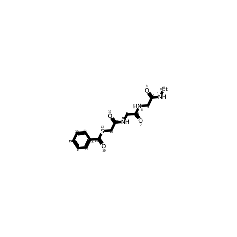 CCNC(=O)CNC(=O)CNC(=O)CSC(=O)c1ccccc1